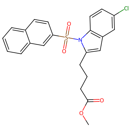 COC(=O)CCCc1cc2cc(Cl)ccc2n1S(=O)(=O)c1ccc2ccccc2c1